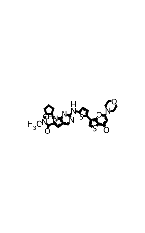 CN(C)C(=O)c1cc2cnc(Nc3ccc(-c4csc5c(=O)cc(N6CCOCC6)oc45)s3)nc2n1C1CCCC1